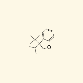 CC(C)C1(C(C)(C)C)COc2ccccc21